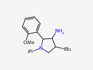 COc1ccccc1C1C(N)C(C(C)(C)C)CN1C(C)C